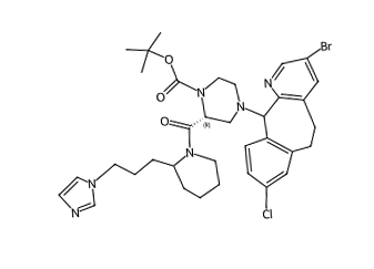 CC(C)(C)OC(=O)N1CCN(C2c3ccc(Cl)cc3CCc3cc(Br)cnc32)C[C@@H]1C(=O)N1CCCCC1CCCn1ccnc1